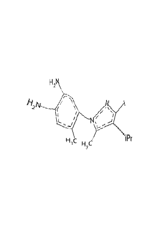 Cc1cc(N)c(N)cc1-n1nc(I)c(C(C)C)c1C